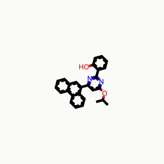 CC(C)Oc1cc(-c2cc3ccccc3c3ccccc23)nc(-c2ccccc2O)n1